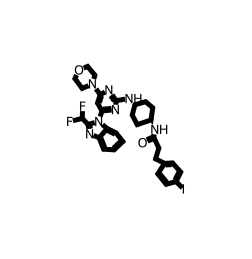 O=C(CCc1ccc(I)cc1)N[C@H]1CC[C@H](Nc2nc(N3CCOCC3)cc(-n3c(C(F)F)nc4ccccc43)n2)CC1